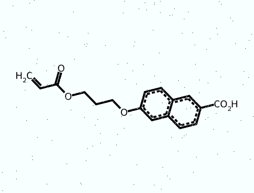 C=CC(=O)OCCCOc1ccc2cc(C(=O)O)ccc2c1